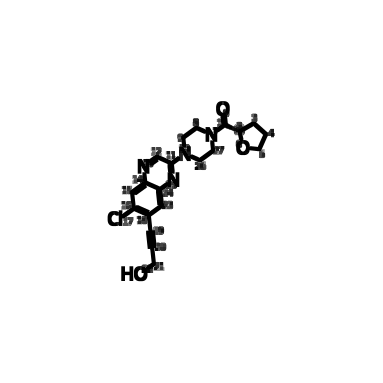 O=C([C@H]1CCCO1)N1CCN(c2cnc3cc(Cl)c(C#CCO)cc3n2)CC1